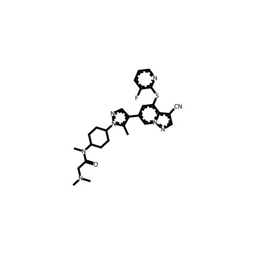 Cc1c(-c2cc(Sc3ncccc3F)c3c(C#N)cnn3c2)cnn1C1CCC(N(C)C(=O)CN(C)C)CC1